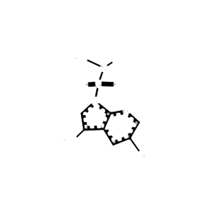 CN(C)S(=O)(=O)n1cc(C=O)c2cc(Br)cnc21